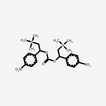 C[Si](C)(C)CC(OC(=O)OC(C[Si](C)(C)C)c1ccc([N+](=O)[O-])cc1)c1ccc([N+](=O)[O-])cc1